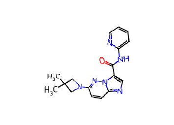 CC1(C)CN(c2ccc3ncc(C(=O)Nc4ccccn4)n3n2)C1